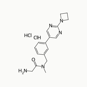 CN(Cc1cccc(-c2cnc(N3CCC3)nc2)c1)C(=O)CN.Cl.Cl